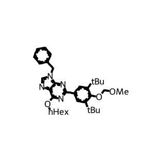 CCCCCCOc1nc(-c2cc(C(C)(C)C)c(OCOC)c(C(C)(C)C)c2)nc2c1ncn2Cc1ccccc1